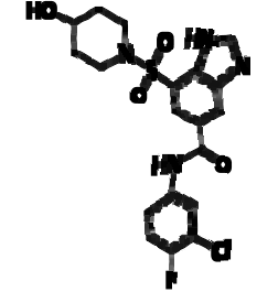 O=C(Nc1ccc(F)c(Cl)c1)c1cc(S(=O)(=O)N2CCC(O)CC2)c2[nH]cnc2c1